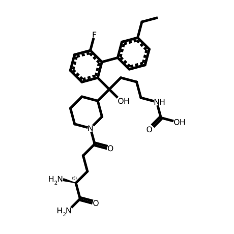 CCc1cccc(-c2c(F)cccc2C(O)(CCCNC(=O)O)C2CCCN(C(=O)CC[C@H](N)C(N)=O)C2)c1